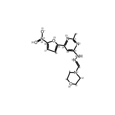 Cc1nc(NN=CN2CCOCC2)cc(-c2ccc([N+](=O)[O-])o2)n1